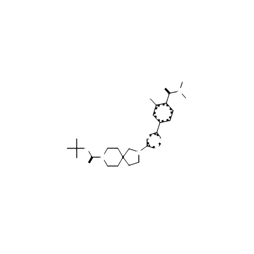 CN(C)C(=O)c1ccc(-c2nnc(N3CCC4(CCN(C(=O)OC(C)(C)C)CC4)C3)s2)cc1Cl